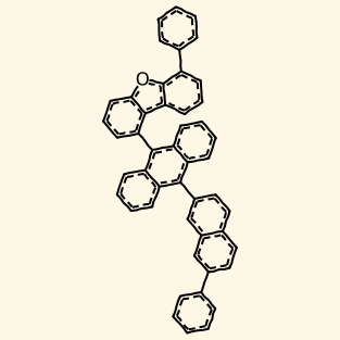 c1ccc(-c2ccc3ccc(-c4c5ccccc5c(-c5cccc6oc7c(-c8ccccc8)cccc7c56)c5ccccc45)cc3c2)cc1